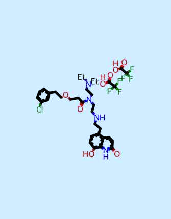 CCN(CC)CCN(CCNCCc1ccc(O)c2[nH]c(=O)ccc12)C(=O)CCOCCc1cccc(Cl)c1.O=C(O)C(F)(F)F.O=C(O)C(F)(F)F